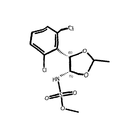 COS(=O)(=O)N[C@H]1OC(C)O[C@H]1c1c(Cl)cccc1Cl